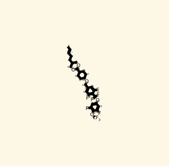 C/C=C/CCC1COC(C2CCC(OCc3cc(F)c(C(F)(F)Oc4cc(F)c(OC(F)(F)F)c(F)c4)c(F)c3)CC2)OC1